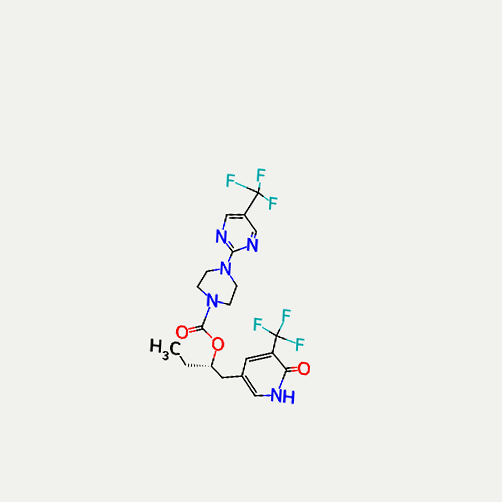 CC[C@@H](Cc1c[nH]c(=O)c(C(F)(F)F)c1)OC(=O)N1CCN(c2ncc(C(F)(F)F)cn2)CC1